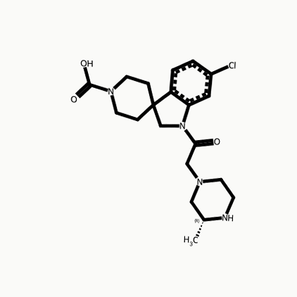 C[C@@H]1CN(CC(=O)N2CC3(CCN(C(=O)O)CC3)c3ccc(Cl)cc32)CCN1